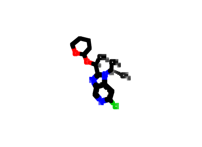 C[C@H](OC1CCCCO1)c1nc2cnc(Cl)cc2n1[C@H](C)C(F)(F)F